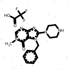 Cn1cnc2nc(N3CCNCC3)n(Cc3ccccc3)c2c1=O.O=C(O)C(F)(F)F